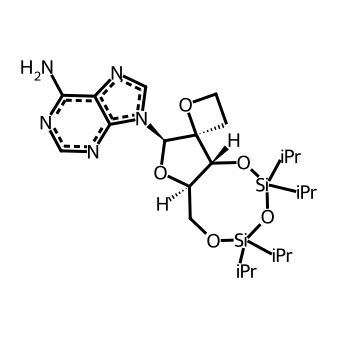 CC(C)[Si]1(C(C)C)OC[C@H]2O[C@@H](n3cnc4c(N)ncnc43)[C@]3(CCO3)[C@@H]2O[Si](C(C)C)(C(C)C)O1